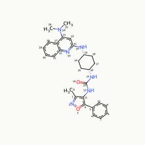 Cc1noc(-c2ccccc2)c1NC(=O)N[C@H]1CC[C@@H](Nc2cc(N(C)C)c3ccccc3n2)CC1